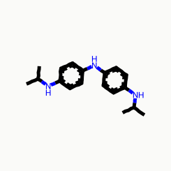 CC(C)Nc1ccc(Nc2ccc(NC(C)C)cc2)cc1